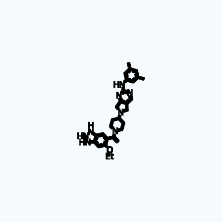 C=C(c1cc2c(cc1OCC)NNN2)N1CCC(N2Cc3cnc(Nc4cc(C)cc(C)c4)nc3C2)CC1